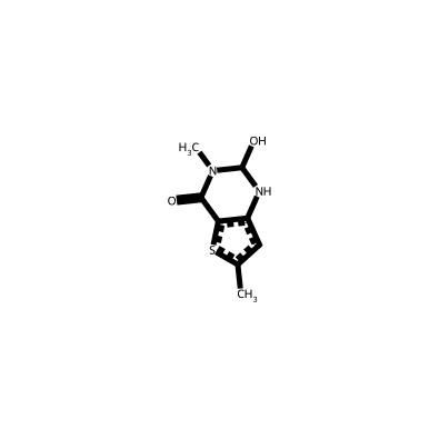 Cc1cc2c(s1)C(=O)N(C)C(O)N2